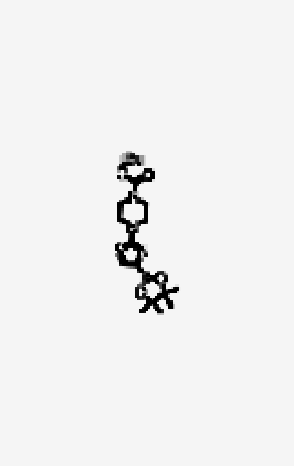 CC(C)(C)OC(=O)N1CCN(c2nc(B3OC(C)(C)C(C)(C)O3)cs2)CC1